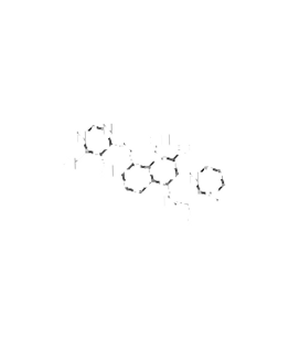 CC(Nc1cc(=O)n(C)c2c(Nc3ncnc(Cl)c3Cl)cccc12)c1ncccn1